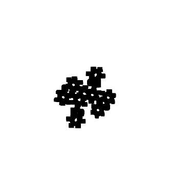 c1ccc2c(c1)Oc1ccccc1N2c1cc(-c2nc3ccccc3o2)c2ccc3c(N4c5ccccc5Oc5ccccc54)cc(-c4nc5ccccc5o4)cc3c2c1